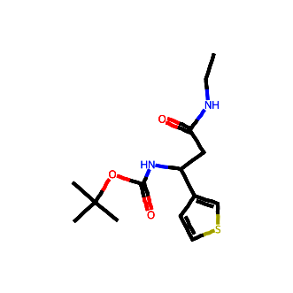 CCNC(=O)CC(NC(=O)OC(C)(C)C)c1ccsc1